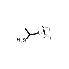 CC([SiH3])Cl.[SiH3][SiH3]